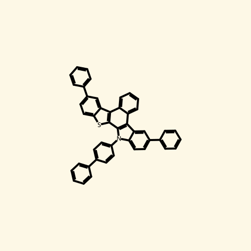 c1ccc(-c2ccc(-n3c4ccc(-c5ccccc5)cc4c4c5ccccc5c5c6cc(-c7ccccc7)ccc6sc5c43)cc2)cc1